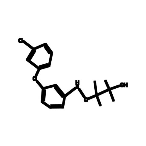 CC(C)(O)C(C)(C)OBc1cccc(Oc2cccc(Cl)c2)c1